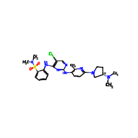 Cc1nc(N2CC[C@H](N(C)C)C2)ccc1Nc1ncc(Cl)c(Nc2ccccc2S(=O)(=O)N(C)C)n1